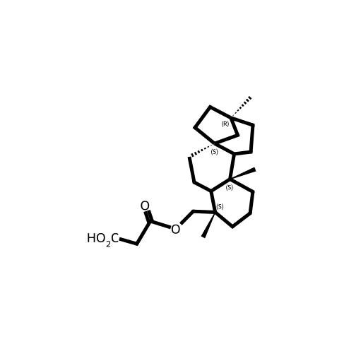 C[C@@]12CCC3[C@@](CCC4[C@@](C)(COC(=O)CC(=O)O)CCC[C@]43C)(CC1)C2